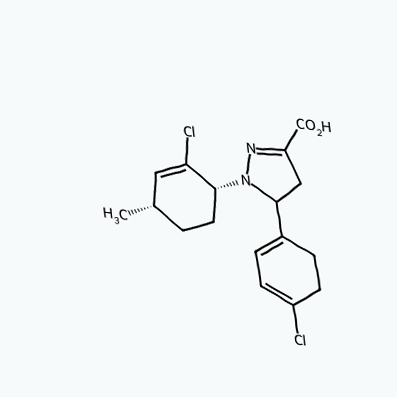 C[C@@H]1C=C(Cl)[C@H](N2N=C(C(=O)O)CC2C2=CC=C(Cl)CC2)CC1